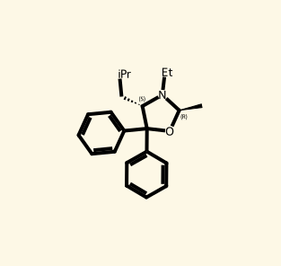 CCN1[C@@H](CC(C)C)C(c2ccccc2)(c2ccccc2)O[C@@H]1C